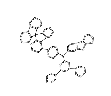 c1ccc(-c2cc(-c3ccccc3)cc(N(c3ccc(-c4cccc5c4-c4ccccc4C54c5ccccc5-c5ccccc54)cc3)c3ccc4c(c3)oc3ccccc34)c2)cc1